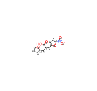 O=C(O)C(=Cc1ccc([N+](=O)[O-])o1)Cc1ccco1